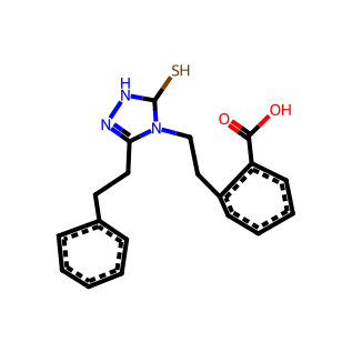 O=C(O)c1ccccc1CCN1C(CCc2ccccc2)=NNC1S